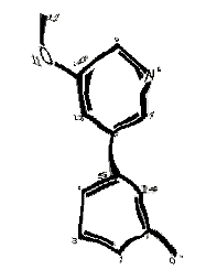 [CH2]c1cccc(-c2cncc(OC)c2)c1